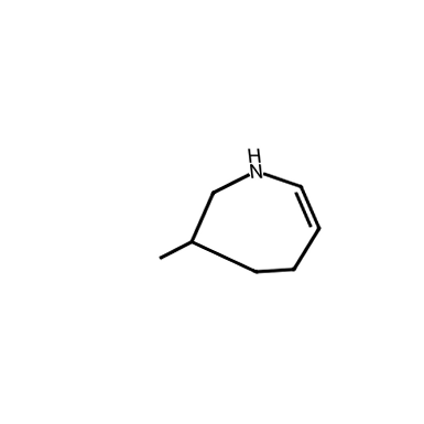 CC1CCC=CNC1